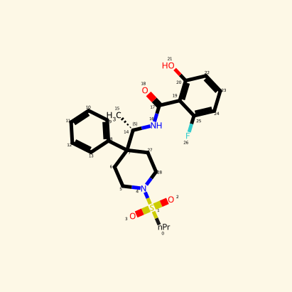 CCCS(=O)(=O)N1CCC(c2ccccc2)([C@H](C)NC(=O)c2c(O)cccc2F)CC1